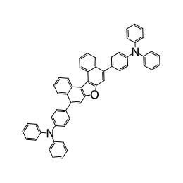 c1ccc(N(c2ccccc2)c2ccc(-c3cc4oc5cc(-c6ccc(N(c7ccccc7)c7ccccc7)cc6)c6ccccc6c5c4c4ccccc34)cc2)cc1